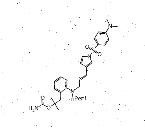 CCCCCN(C/C=C/c1ccn(S(=O)(=O)c2ccc(N(C)C)cc2)c1)c1ccccc1CC(C)(C)OC(N)=O